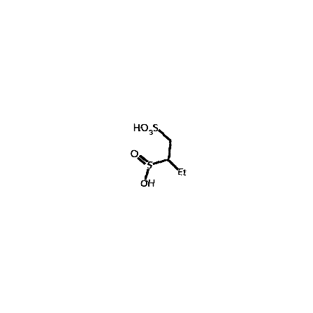 CCC(CS(=O)(=O)O)S(=O)O